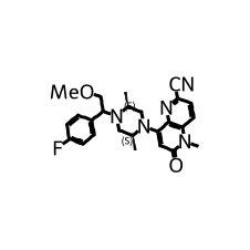 COCC(c1ccc(F)cc1)N1C[C@H](C)N(c2cc(=O)n(C)c3ccc(C#N)nc23)C[C@@H]1C